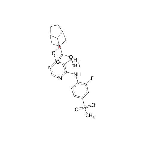 Cc1c(Nc2ccc(S(C)(=O)=O)cc2F)ncnc1OCC1C2CCC1CN(C(=O)OC(C)(C)C)C2